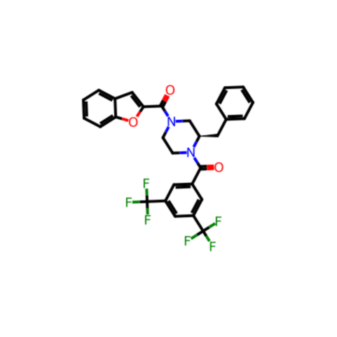 O=C(c1cc2ccccc2o1)N1CCN(C(=O)c2cc(C(F)(F)F)cc(C(F)(F)F)c2)[C@H](Cc2ccccc2)C1